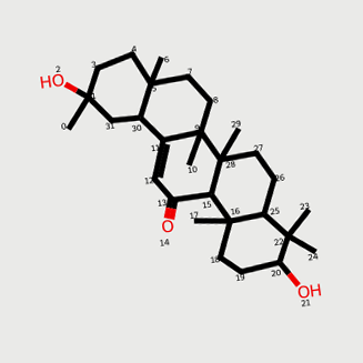 CC1(O)CCC2(C)CCC3(C)C(=CC(=O)C4C5(C)CCC(O)C(C)(C)C5CCC43C)C2C1